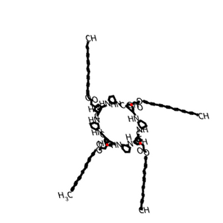 C#CC#CC#CC#CC#CC#CC#CC#COC(=O)Cc1cc2c(O)c(c1)CNC1CCCCC1NCc1cc(CC(=O)OCC#CC#CC#CC#CC#CC#CC#CC)cc(c1O)CNC1CCCCC1Nc1cc(CC(=O)OC#CC#CC#CC#CC#CC#CC#CC#C)cc(c1O)CNC1CCCCC1NCc1cc(CC(=O)OC#CC#CC#CC#CC#CC#CC#CC#C)cc(c1O)CNC1CCCCC1NC2